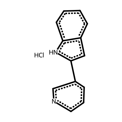 Cl.c1cncc(-c2cc3ccccc3[nH]2)c1